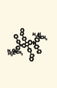 C[SiH](C)c1ccc(N(c2ccc(-c3ccccc3)cc2)c2ccc3c(-c4ccc(-c5ccc6ccccc6c5)cc4)c4cc(N(c5ccc(-c6ccccc6)cc5)c5ccc(S(C)(C)C)cc5)ccc4c(-c4ccc(-c5ccc6ccccc6c5)cc4)c3c2)cc1